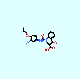 CCCOc1ccc(NC(=O)n2cc(C(=O)O)c(=O)c3ccccc32)cc1N